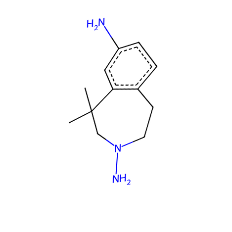 CC1(C)CN(N)CCc2ccc(N)cc21